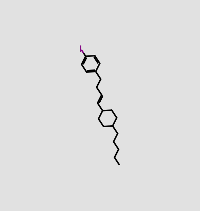 CCCCCC1CCC(C=CCCc2ccc(I)cc2)CC1